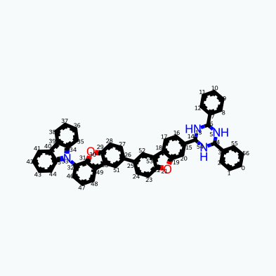 c1ccc(C2NC(c3ccccc3)NC(c3ccc4c(c3)oc3ccc(-c5ccc6oc7c(-n8c9ccccc9c9ccccc98)cccc7c6c5)cc34)N2)cc1